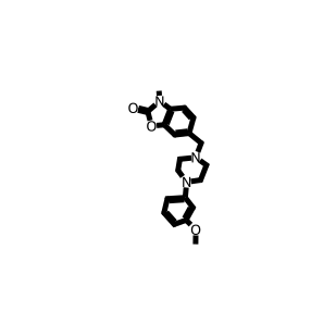 COc1cccc(N2CCN(Cc3ccc4c(c3)oc(=O)n4C)CC2)c1